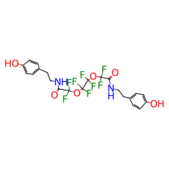 O=C(NCCc1ccc(O)cc1)C(F)(F)OC(F)(F)C(F)(F)OC(F)(F)C(=O)NCCc1ccc(O)cc1